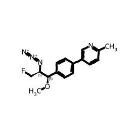 CO[C@H](c1ccc(-c2ccc(C)nc2)cc1)[C@@H](CF)N=[N+]=[N-]